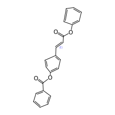 O=C(/C=C/c1ccc(OC(=O)c2ccccc2)cc1)Oc1ccccc1